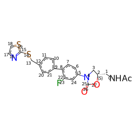 CC(=O)NC[C@H]1CN(c2ccc(-c3ccc(CSc4nccs4)cc3)c(F)c2)C(=O)O1